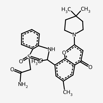 Cc1cc(C(C)Nc2ccccc2S(=O)(=O)CC(N)=O)c2oc(N3CCC(C)(C)CC3)cc(=O)c2c1